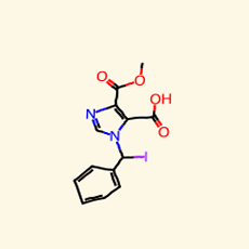 COC(=O)c1ncn(C(I)c2ccccc2)c1C(=O)O